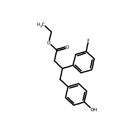 CCOC(=O)CC(Cc1ccc(O)cc1)c1cccc(F)c1